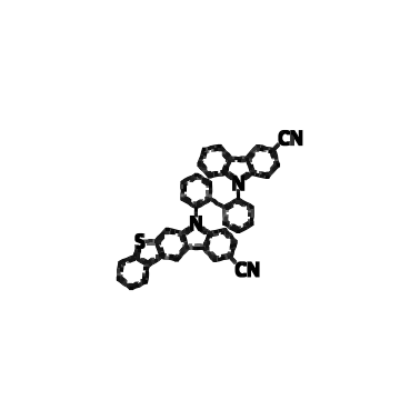 N#Cc1ccc2c(c1)c1ccccc1n2-c1ccccc1-c1ccccc1-n1c2ccc(C#N)cc2c2cc3c(cc21)sc1ccccc13